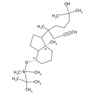 C#CCC(C)(CCCC(C)(C)O)C1CCC2[C@@H](O[Si](C)(C)C(C)(C)C)CCC[C@@]21C